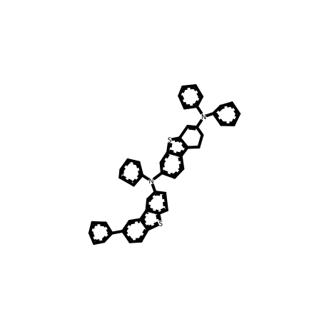 C1=C(N(c2ccccc2)c2ccccc2)CCc2c1sc1cc(N(c3ccccc3)c3ccc4sc5ccc(-c6ccccc6)cc5c4c3)ccc21